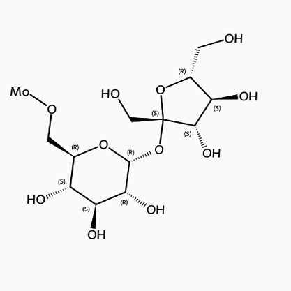 OC[C@H]1O[C@@](CO)(O[C@H]2O[C@H](C[O][Mo])[C@@H](O)[C@H](O)[C@H]2O)[C@@H](O)[C@@H]1O